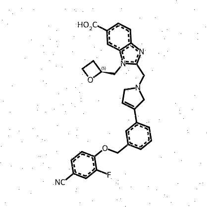 N#Cc1ccc(OCc2cccc(C3=CCN(Cc4nc5ccc(C(=O)O)cc5n4C[C@@H]4CCO4)C3)c2)c(F)c1